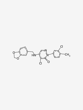 Cc1ccc(-n2ncc(NCc3ccc4c(c3)OCO4)c(Cl)c2=O)cc1Cl